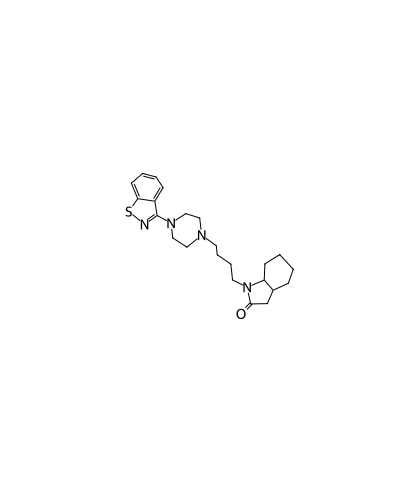 O=C1CC2CCCCC2N1CCCCN1CCN(c2nsc3ccccc23)CC1